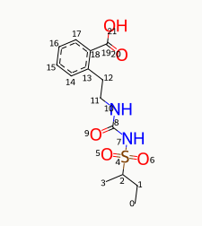 CCC(C)S(=O)(=O)NC(=O)NCCc1ccccc1C(=O)O